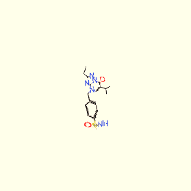 CCc1nc2n(Cc3ccc([S@@](C)(=N)=O)cc3)cc(C(C)C)c(=O)n2n1